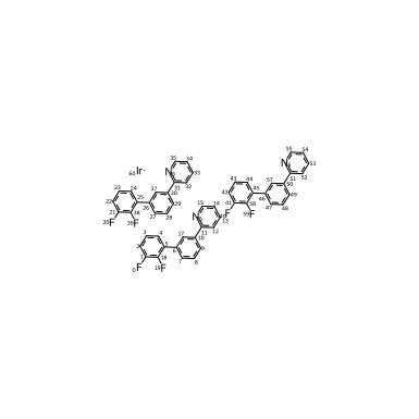 Fc1cccc(-c2cccc(-c3ccccn3)c2)c1F.Fc1cccc(-c2cccc(-c3ccccn3)c2)c1F.Fc1cccc(-c2cccc(-c3ccccn3)c2)c1F.[Ir]